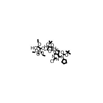 CCOC(O)C(OC[C@H]1O[C@@H](n2ncc3c(N(C(=O)OC(C)(C)C)C4CCCC4)nc(Cl)nc32)[C@@H]2OC(C)(C)O[C@@H]21)P(=O)(OCC)OCC